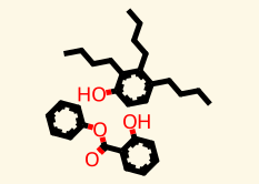 CCCCc1ccc(O)c(CCCC)c1CCCC.O=C(Oc1ccccc1)c1ccccc1O